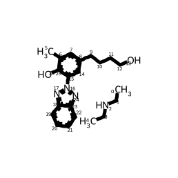 CCNCC.Cc1cc(CCCCO)cc(-n2nc3ccccc3n2)c1O